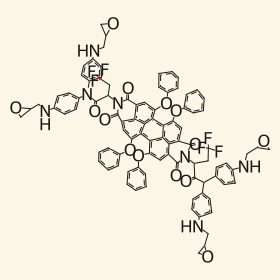 O=C(C(c1ccc(NCC2CO2)cc1)c1ccc(NCC2CO2)cc1)C(CC(F)(F)F)N1C(=O)c2cc(Oc3ccccc3)c3c4c(Oc5ccccc5)cc5c6c(cc(Oc7ccccc7)c(c7c(Oc8ccccc8)cc(c2c37)C1=O)c64)C(=O)N(C(CC(F)(F)F)C(=O)N(c1ccc(NCC2CO2)cc1)c1ccc(NCC2CO2)cc1)C5=O